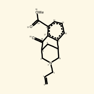 C=CCN1CC2CC(C1)c1cccc(C(=O)OC)c1C2=O